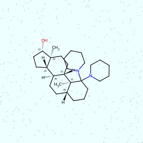 C[C@]12CC[C@H]3[C@@H](CC[C@H]4CCCC(N5CCCCC5)(N5CCCCC5)[C@@]43C)[C@@H]1CC[C@@H]2O